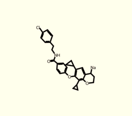 O=C(NCCc1ccc(Cl)cc1)c1ccc(Oc2c(C3CC3)cc3c(c2C2CC2)OCC[CH]3[Na])cc1